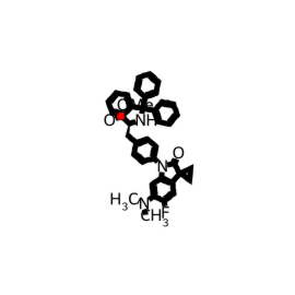 COC(=O)[C@H](Cc1ccc(N2C(=O)C3(CC3)c3cc(F)c(N(C)C)cc32)cc1)NC(c1ccccc1)(c1ccccc1)c1ccccc1